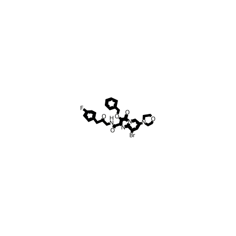 O=C(CNC(=O)c1nc2c(Br)cc(N3CCOCC3)cn2c(=O)c1OCc1ccccc1)Cc1ccc(F)cc1